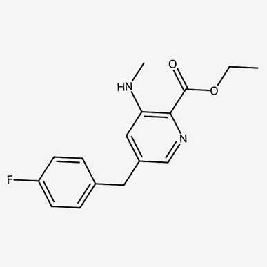 CCOC(=O)c1ncc(Cc2ccc(F)cc2)cc1NC